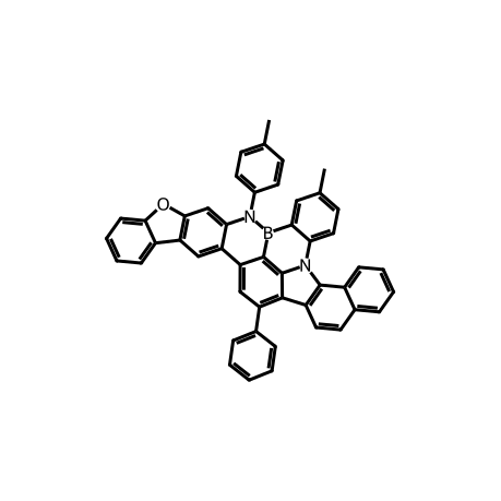 Cc1ccc(N2B3c4cc(C)ccc4-n4c5c3c(cc(-c3ccccc3)c5c3ccc5ccccc5c34)-c3cc4c(cc32)oc2ccccc24)cc1